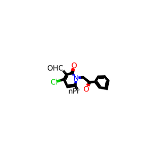 CCCc1cc(Cl)c(C=O)c(=O)n1CC(=O)c1ccccc1